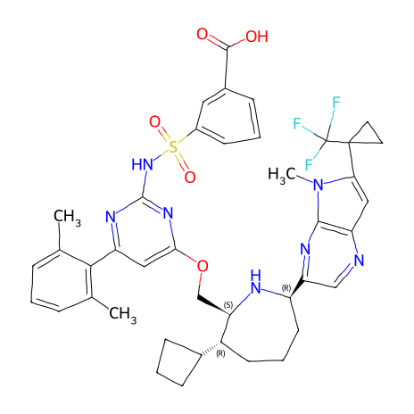 Cc1cccc(C)c1-c1cc(OC[C@H]2N[C@@H](c3cnc4cc(C5(C(F)(F)F)CC5)n(C)c4n3)CCC[C@@H]2C2CCC2)nc(NS(=O)(=O)c2cccc(C(=O)O)c2)n1